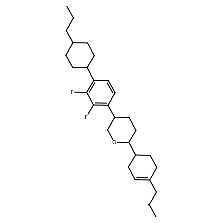 CCCC1=CCC(C2CCC(c3ccc(C4CCC(CCC)CC4)c(F)c3F)CO2)CC1